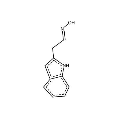 ON=CCc1cc2ccccc2[nH]1